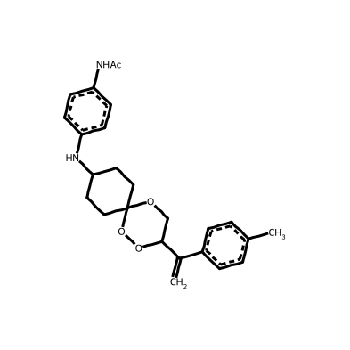 C=C(c1ccc(C)cc1)C1COC2(CCC(Nc3ccc(NC(C)=O)cc3)CC2)OO1